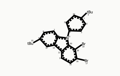 CC(C)(C)c1ccc(-n2c3ccc(C(C)(C)C)cc3c3ccc(Br)c(Br)c32)cc1